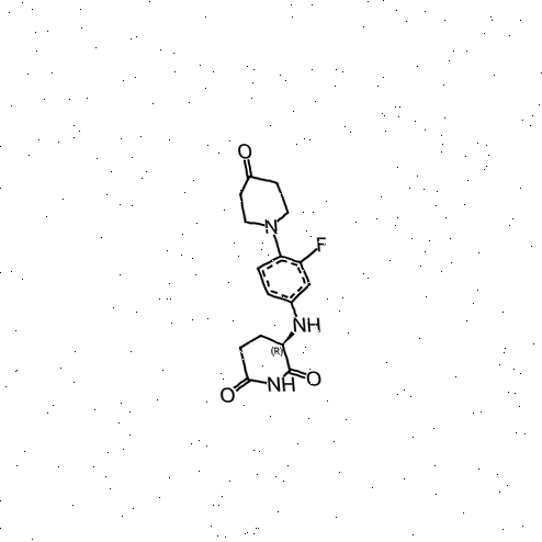 O=C1CCN(c2ccc(N[C@@H]3CCC(=O)NC3=O)cc2F)CC1